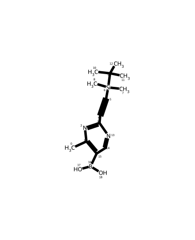 Cc1nc(C#C[Si](C)(C)C(C)(C)C)ncc1B(O)O